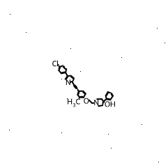 Cc1cc(C#Cc2ccc(-c3ccc(Cl)cc3)cn2)ccc1OCCN1CCC(O)(c2ccccc2)CC1